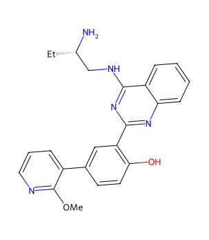 CC[C@H](N)CNc1nc(-c2cc(-c3cccnc3OC)ccc2O)nc2ccccc12